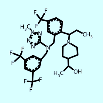 CCC(c1ccc(C(F)(F)F)cc1CN(Cc1cc(C(F)(F)F)cc(C(F)(F)F)c1)c1nnn(C)n1)N1CCC(C(C)O)CC1